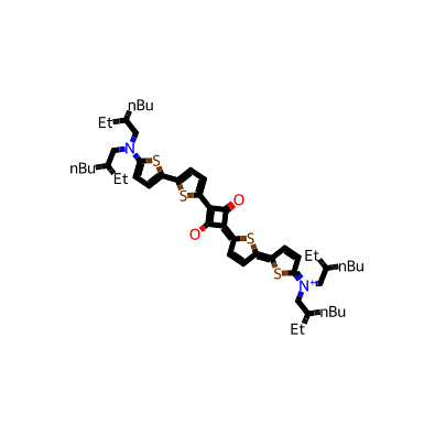 CCCCC(CC)CN(CC(CC)CCCC)c1ccc(-c2ccc(C3=C([O-])/C(=c4\cc/c(=C5/C=CC(=[N+](CC(CC)CCCC)CC(CC)CCCC)S5)s4)C3=O)s2)s1